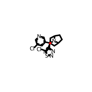 N#CC1(c2cncc(Cl)c2)CC2CCC(C1)N2Cc1nnsc1Cl